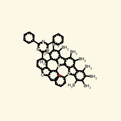 Bc1c(B)c(B)c2c(c1B)c1c(B)c(B)c3c4c(B)c(B)c(B)c(B)c4n(-c4cccc5oc6ccc(-c7nc(-c8ccccc8)nc(-c8ccccc8)n7)cc6c45)c3c1n2-c1ccccc1